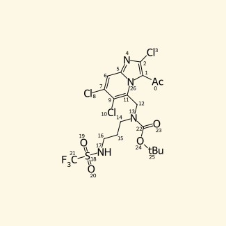 CC(=O)c1c(Cl)nc2cc(Cl)c(Cl)c(CN(CCCNS(=O)(=O)C(F)(F)F)C(=O)OC(C)(C)C)n12